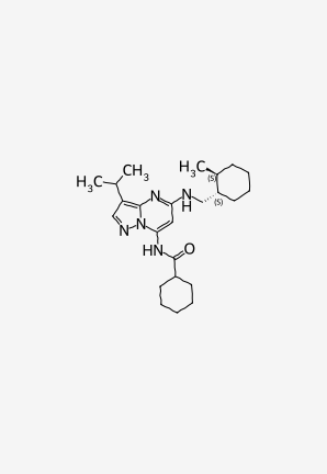 CC(C)c1cnn2c(NC(=O)C3CCCCC3)cc(NC[C@H]3CCCC[C@@H]3C)nc12